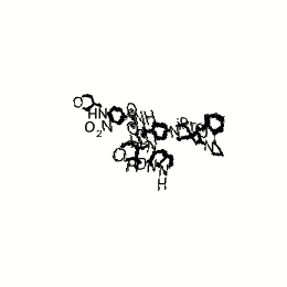 CC(C)Oc1ccccc1[C@@H]1CCCN1C1CC2(CCN(c3ccc(C(=O)NS(=O)(=O)c4ccc(NCC5CCOCC5)c([N+](=O)[O-])c4)c(N4C[C@H]5CCOC[C@H]5Oc5nc6[nH]ccc6cc54)c3)CC2)C1